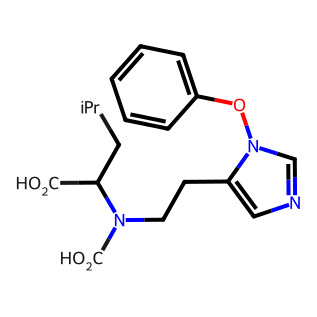 CC(C)CC(C(=O)O)N(CCc1cncn1Oc1ccccc1)C(=O)O